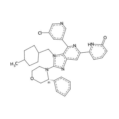 CC1CCC(Cn2c(N3CCOC[C@H]3c3ccccc3)nc3cc(-c4cccc(=O)[nH]4)nc(-c4cncc(Cl)c4)c32)CC1